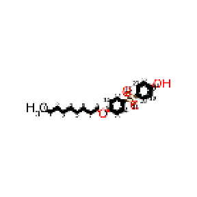 CCCCCCCCCOc1ccc(S(=O)(=O)c2ccc(O)cc2)cc1